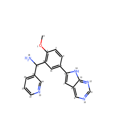 COc1ccc(-c2cc3cncnc3[nH]2)cc1C(N)c1cccnc1